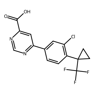 O=C(O)c1cc(-c2ccc(C3(C(F)(F)F)CC3)c(Cl)c2)ncn1